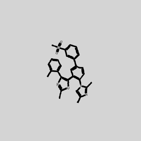 Cc1cn(-c2ccc(-c3cccc(S(C)(=O)=O)c3)cc2-c2oc(C)nc2-c2ccccc2C)c(C)n1